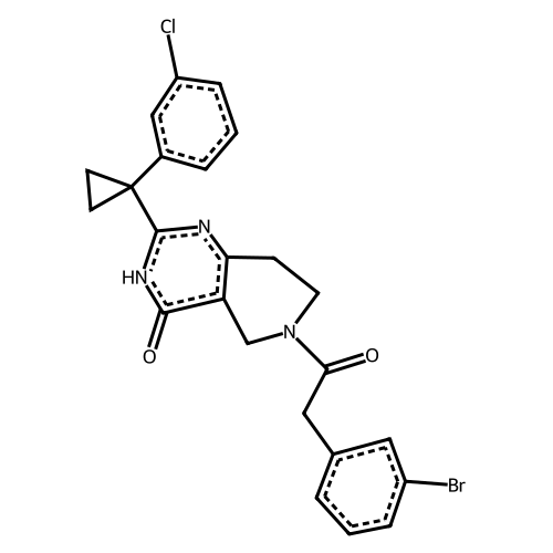 O=C(Cc1cccc(Br)c1)N1CCc2nc(C3(c4cccc(Cl)c4)CC3)[nH]c(=O)c2C1